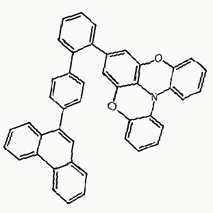 c1ccc2c(c1)Oc1cc(-c3ccccc3-c3ccc(-c4cc5ccccc5c5ccccc45)cc3)cc3c1N2c1ccccc1O3